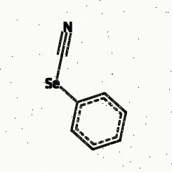 N#C[Se]c1ccccc1